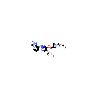 CCN1CC(COc2cc(Nc3cccn4cnnc34)ncc2OC)C1